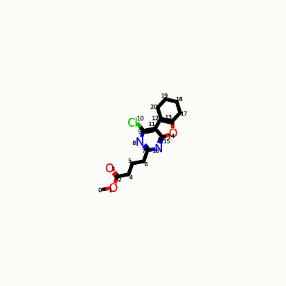 COC(=O)CCCc1nc(Cl)c2c3c(oc2n1)CCCC3